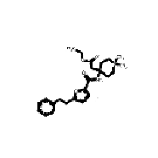 CCOC(=O)CC1(NC(=O)c2ccc(CCc3ccccc3)o2)CC[N+](C)(C)CC1.[I-]